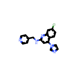 Clc1ccc2c(-n3ccnc3)cc(NCc3ccncc3)nc2c1